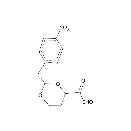 O=CC(=O)C1CCOC(Cc2ccc([N+](=O)[O-])cc2)O1